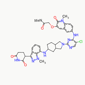 CNC(=O)COc1cc2cc(Nc3nc(N4CC5CCC(Nc6cccc7c(C8CCC(=O)NC8=O)nn(C)c67)CC5C4)ncc3Cl)ccc2n(C)c1=O